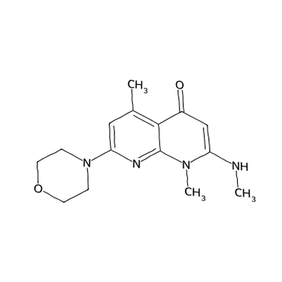 CNc1cc(=O)c2c(C)cc(N3CCOCC3)nc2n1C